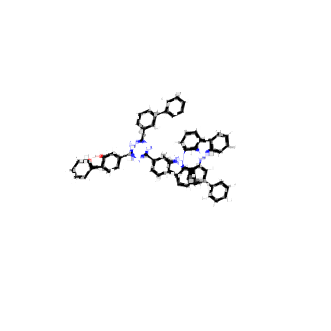 c1ccc(-c2cccc(-c3nc(-c4ccc5c(c4)oc4ccccc45)nc(-c4ccc5c6ccccc6n(-c6cccc7c8ccccc8n(-c8cccc(-c9ccccc9)c8)c67)c5c4)n3)c2)cc1